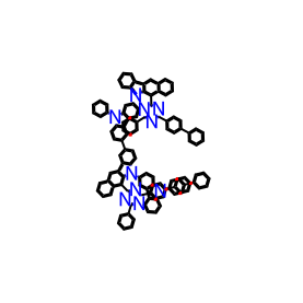 c1ccc(-c2ccc(-c3nc(-c4ccccc4)nc(-c4c5ccccc5cc5c6ccccc6n(-c6ccc7c8cc(-c9ccc%10c(c9)c9cc%11ccccc%11c(-c%11nc(-c%12ccccc%12)nc(-c%12ccc(-c%13ccccc%13)cc%12)n%11)c9n%10-c9ccc%10c(c9)c9ccccc9n%10-c9ccc(-c%10ccccc%10)cc9)ccc8n(-c8ccccc8)c7c6)c45)n3)cc2)cc1